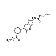 C=CCNC(=O)Nc1nc2cc(-c3cncc(C(=O)C(C)(C)N)c3)c(C)nc2s1